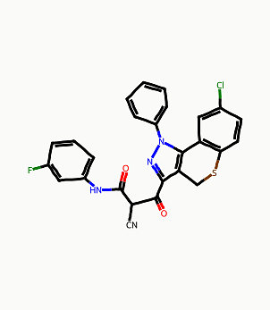 N#CC(C(=O)Nc1cccc(F)c1)C(=O)c1nn(-c2ccccc2)c2c1CSc1ccc(Cl)cc1-2